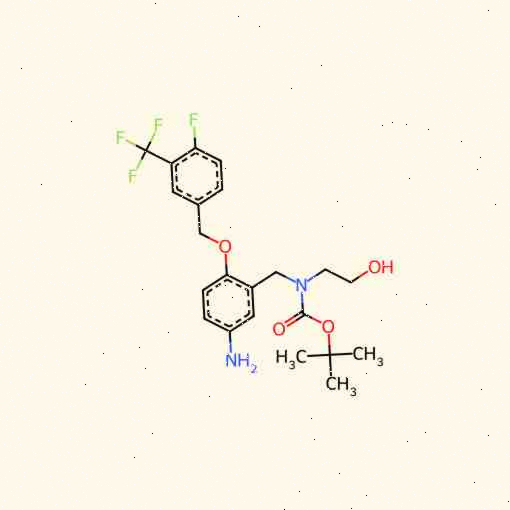 CC(C)(C)OC(=O)N(CCO)Cc1cc(N)ccc1OCc1ccc(F)c(C(F)(F)F)c1